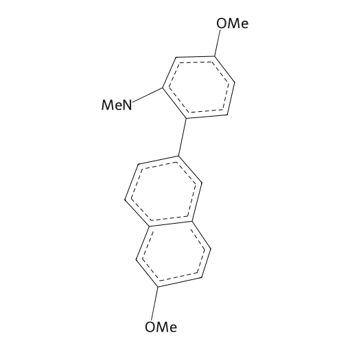 CNc1cc(OC)ccc1-c1ccc2cc(OC)ccc2c1